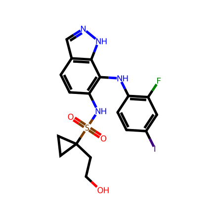 O=S(=O)(Nc1ccc2cn[nH]c2c1Nc1ccc(I)cc1F)C1(CCO)CC1